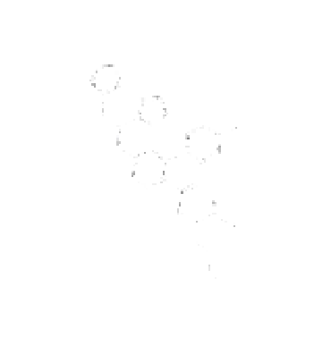 CSCC[C@H](NC(=O)c1ccc(/C=C(/Cn2ccnc2)c2nccs2)cc1-c1ccc(F)cc1)C(=O)O